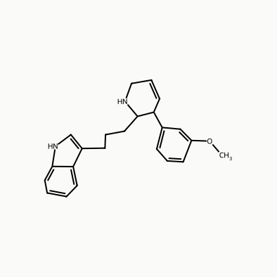 COc1cccc(C2C=CCNC2CCCc2c[nH]c3ccccc23)c1